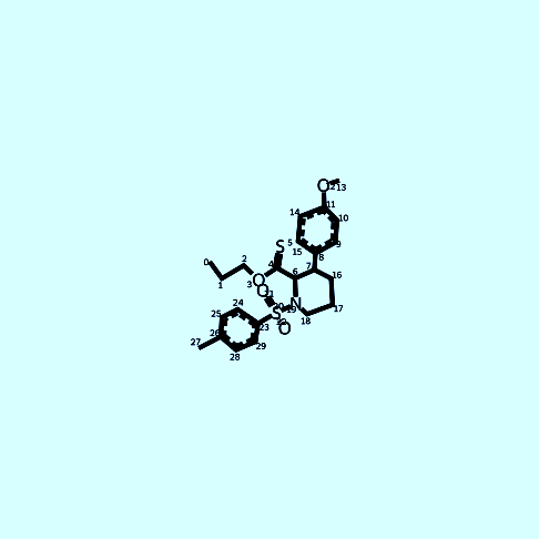 CCCOC(=S)C1C(c2ccc(OC)cc2)CCCN1S(=O)(=O)c1ccc(C)cc1